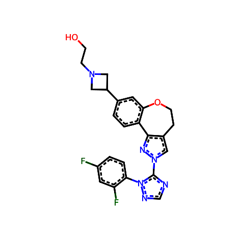 OCCN1CC(c2ccc3c(c2)OCCc2cn(-c4ncnn4-c4ccc(F)cc4F)nc2-3)C1